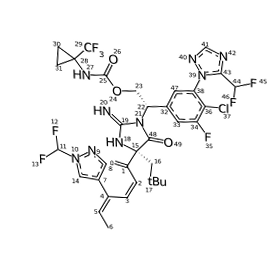 C=C(/C=C\C(=C/C)c1cnn(C(F)F)c1)[C@@]1(CC(C)(C)C)NC(=N)N([C@H](COC(=O)NC2(C(F)(F)F)CC2)c2cc(F)c(Cl)c(-n3ncnc3C(F)F)c2)C1=O